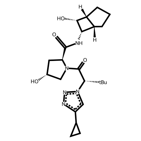 CC(C)(C)[C@@H](C(=O)N1C[C@H](O)C[C@H]1C(=O)N[C@@H]1[C@H](O)[C@@H]2CCC[C@@H]21)n1cc(C2CC2)nn1